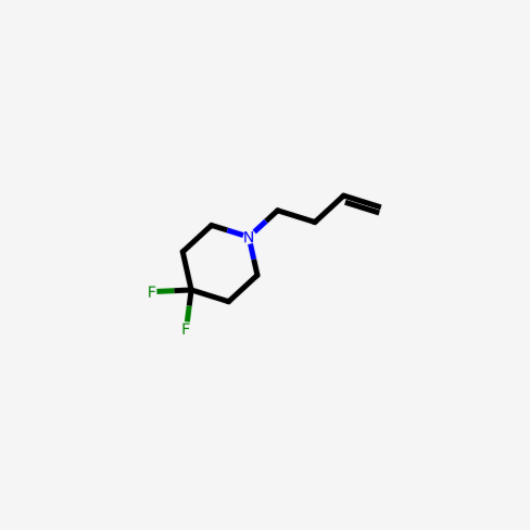 C=CCCN1CCC(F)(F)CC1